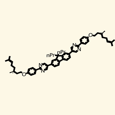 CCCC1(CCC)c2cc(-c3cnc(-c4ccc(OCC[C@@H](C)CCC=C(C)C)cc4)nc3)ccc2-c2ccc(-c3cnc(-c4ccc(OCC[C@@H](C)CCC=C(C)C)cc4)nc3)cc21